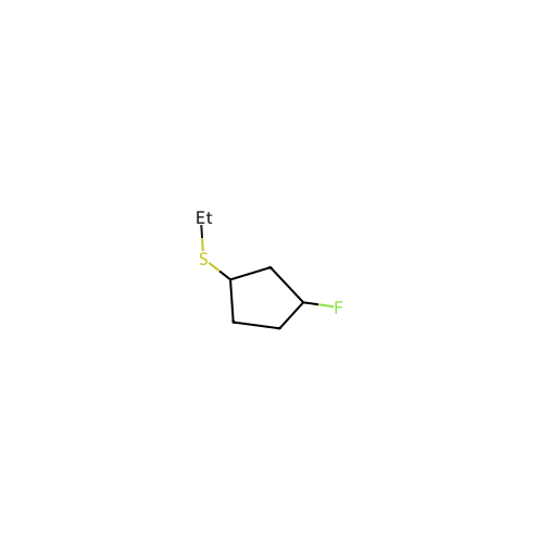 CCSC1CCC(F)C1